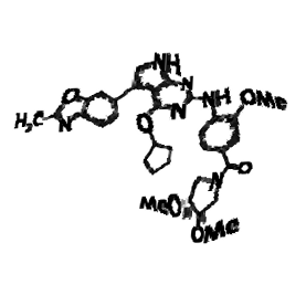 COc1cc(C(=O)N2C[C@@H](OC)[C@H](OC)C2)ccc1Nc1nc(OC2CCCC2)c2c(-c3ccc4nc(C)oc4c3)c[nH]c2n1